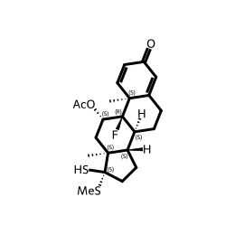 CS[C@@]1(S)CC[C@H]2[C@@H]3CCC4=CC(=O)C=C[C@]4(C)[C@@]3(F)[C@@H](OC(C)=O)C[C@@]21C